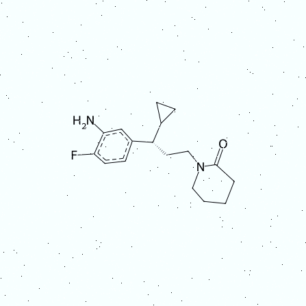 Nc1cc([C@@H](CCN2CCCCC2=O)C2CC2)ccc1F